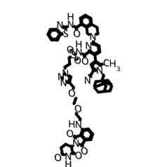 Cc1c(-c2ccc(N3CCc4cccc(C(=O)Nc5nc6ccccc6s5)c4C3)nc2C(=O)NS(=O)(=O)CCCn2cc(COCCOCCNc3cccc4c3C(=O)N(C3CCC(=O)NC3=O)C4=O)nn2)cc(C#N)n1CC12CC3CC(CC(C3)C1)C2